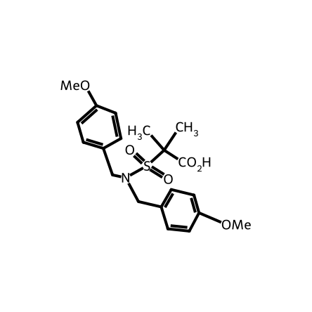 COc1ccc(CN(Cc2ccc(OC)cc2)S(=O)(=O)C(C)(C)C(=O)O)cc1